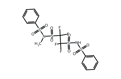 CN(S(=O)(=O)c1ccccc1)S(=O)(=O)C(F)(F)C(F)(F)S(=O)(=O)NS(=O)(=O)c1ccccc1